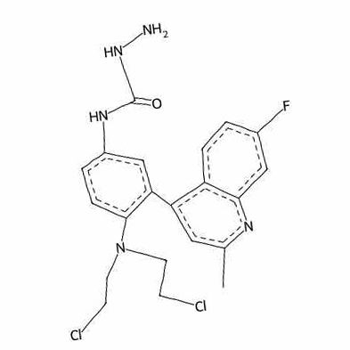 Cc1cc(-c2cc(NC(=O)NN)ccc2N(CCCl)CCCl)c2ccc(F)cc2n1